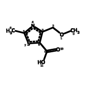 COCc1nc(C)sc1C(=O)O